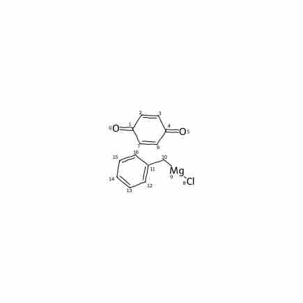 O=C1C=CC(=O)C=C1.[Cl][Mg][CH2]c1ccccc1